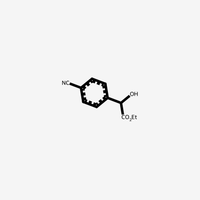 CCOC(=O)C(O)c1ccc(C#N)cc1